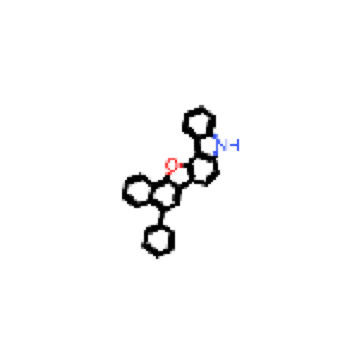 c1ccc(-c2cc3c4ccc5[nH]c6ccccc6c5c4oc3c3ccccc23)cc1